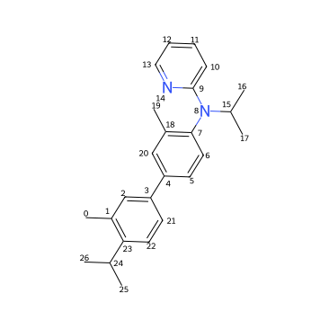 Cc1cc(-c2ccc(N(c3ccccn3)C(C)C)c(C)c2)ccc1C(C)C